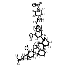 COc1nc(-c2cccc(-c3ccnc(-c4cc(OC)c5nc(CNC6CCN(C(C)=O)CC6)nn5c4)c3Cl)c2Cl)ccc1CNC(C)C